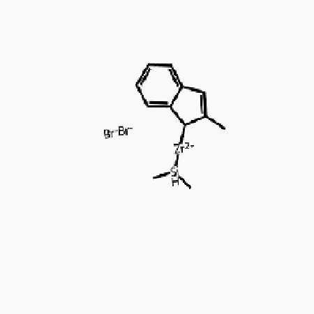 CC1=Cc2ccccc2[CH]1[Zr+2][SiH](C)C.[Br-].[Br-]